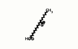 CCCCCCCCC=C(CCCCCCCCCCCC(=O)O)[N+](=O)[O-]